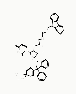 COC1(OC)C=CC(C(OC[C@H]2O[C@@H](n3ccc(=O)[nH]c3=O)[C@H](NC(=O)CNC(=O)OCC3c4ccccc4-c4ccccc43)[C@@H]2OC(C)=O)(c2ccccc2)c2ccccc2)=CC1